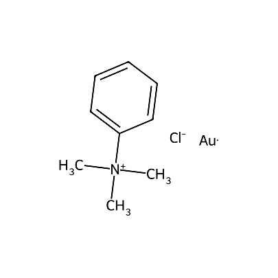 C[N+](C)(C)c1ccccc1.[Au].[Cl-]